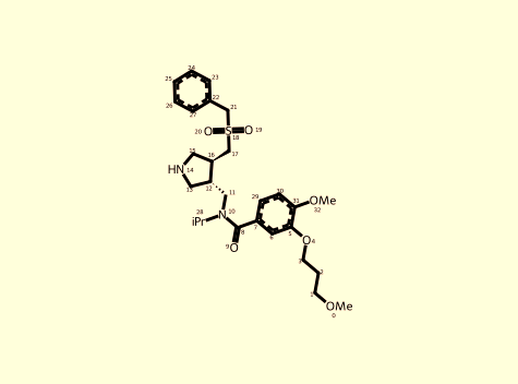 COCCCOc1cc(C(=O)N(C[C@@H]2CNC[C@H]2CS(=O)(=O)Cc2ccccc2)C(C)C)ccc1OC